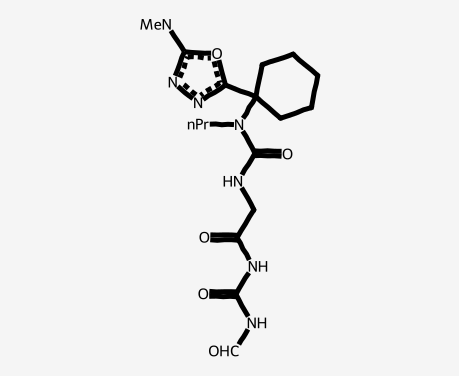 CCCN(C(=O)NCC(=O)NC(=O)NC=O)C1(c2nnc(NC)o2)CCCCC1